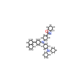 c1ccc(N(c2ccccc2)c2ccc(N(c3ccc(-c4nc5ccccc5o4)cc3)c3ccc(-c4cccc5ccccc45)cc3)cc2)cc1